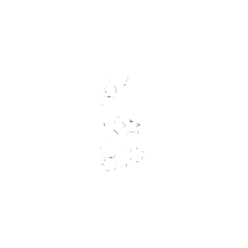 O=C(O)c1ccc(CCCN(CCCc2cccc(Cl)c2)S(=O)(=O)c2nsnc2Cc2ccccc2)s1